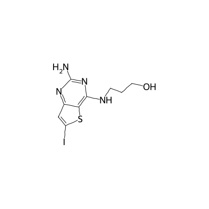 Nc1nc(NCCCO)c2sc(I)cc2n1